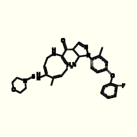 CC1=C/C/C=C(/C(=O)C2C=NN(c3ccc(Oc4ccccc4F)cc3C)C2N)NC/C=C\1NSN1CCOCC1